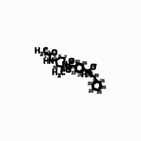 C=CC(=O)NC1CCN(S(=O)(=O)c2ccc(C(=O)NCc3ccccc3)cc2)C(C)C1